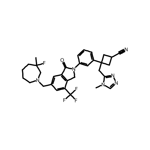 Cn1cnnc1CC1(c2cccc(N3Cc4c(cc(CN5CCCCC(C)(F)C5)cc4C(F)(F)F)C3=O)c2)CC(C#N)C1